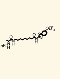 CCCNC(C)C(=O)NCCCCCCCCC(=O)Nc1nc2ccc(OC(F)(F)F)cc2s1